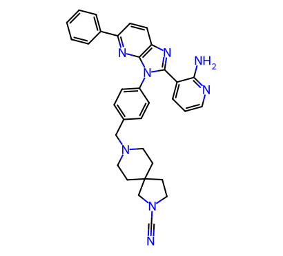 N#CN1CCC2(CCN(Cc3ccc(-n4c(-c5cccnc5N)nc5ccc(-c6ccccc6)nc54)cc3)CC2)C1